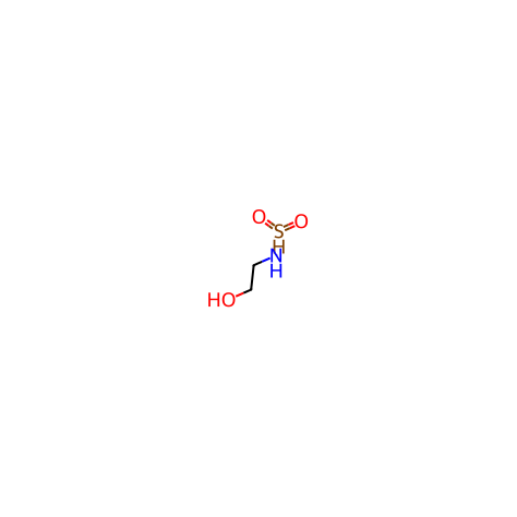 O=[SH](=O)NCCO